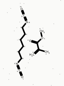 C=C(C)C(=O)OC.O=C=NCCCCCCN=C=O